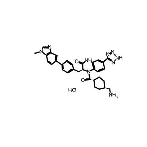 Cl.Cn1cnc2cc(-c3ccc(C[C@@H](C(N)=O)N(c4ccc(-c5nn[nH]n5)cc4)C(=O)[C@H]4CC[C@H](CN)CC4)cc3)ccc21